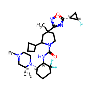 CC(C)N1CCN([C@H]2CCCC(F)(F)[C@@H]2NC(=O)N2CCC(C)(c3noc([C@@H]4C[C@@H]4F)n3)CC2C2CCC2)[C@H](C)C1